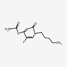 CCCCCn1cc(F)c(OC(N)=O)nc1=O